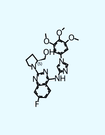 COc1cc(-n2cnc(Nc3nc(N4CCC[C@H]4CO)nc4cc(F)ccc34)c2)cc(OC)c1OC